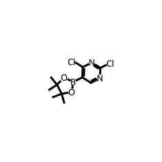 CC1(C)OB(c2cnc(Cl)nc2Cl)OC1(C)C